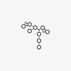 c1ccc(-c2ccc(-c3ccc(N(c4ccc(-c5ccc6oc7ccccc7c6c5)c(-c5ccccc5)c4)c4cccc5c4sc4ccccc45)cc3)cc2)cc1